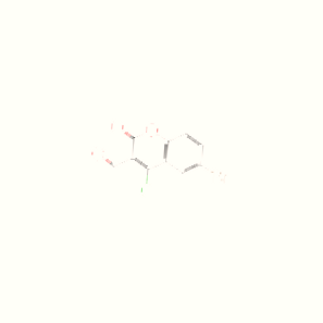 O=Cc1c(Cl)c2cc(Br)ccc2oc1=O